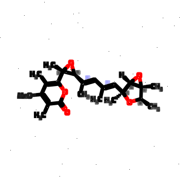 COc1c(C)c([C@]2(C)O[C@H]2/C(C)=C/C(C)=C/[C@]2(C)O[C@H](C)[C@@]3(C)O[C@H]32)oc(=O)c1C